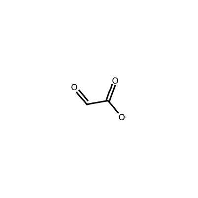 [O]C(=O)C=O